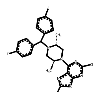 C[C@@H]1CN(c2nc(Cl)nc3sc(I)nc23)[C@@H](C)CN1C(c1ccc(F)cc1)c1ccc(F)cc1